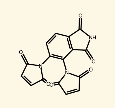 O=C1NC(=O)c2c1ccc(N1C(=O)C=CC1=O)c2N1C(=O)C=CC1=O